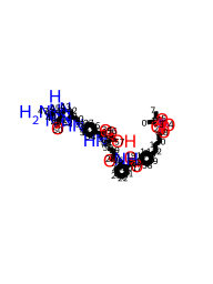 CCOP(=O)(OCC)OCCCCc1ccc(OC(=O)c2ccccc2NC(=O)CC[C@H](NC(=O)c2ccc(NCc3cnc4[nH]c(N)nc(=O)c4n3)cc2)C(=O)O)cc1